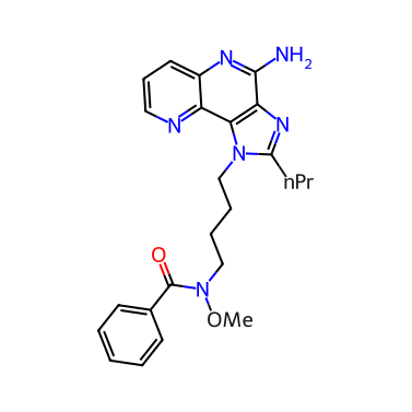 CCCc1nc2c(N)nc3cccnc3c2n1CCCCN(OC)C(=O)c1ccccc1